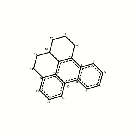 c1ccc2c(c1)c1c3c4c(cccc42)CCC3CCC1